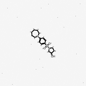 O=S(=O)(c1ccc(N2CCCCCC2)cc1)N1CCC(O)C1